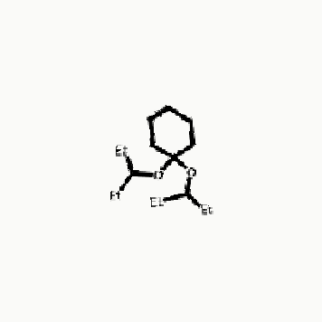 CCC(CC)OC1(OC(CC)CC)CCCCC1